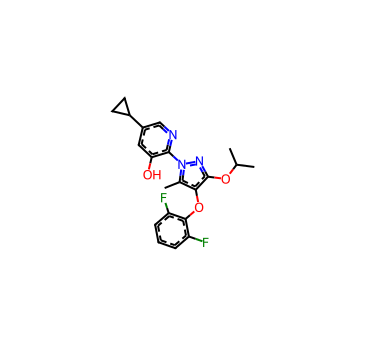 Cc1c(Oc2c(F)cccc2F)c(OC(C)C)nn1-c1ncc(C2CC2)cc1O